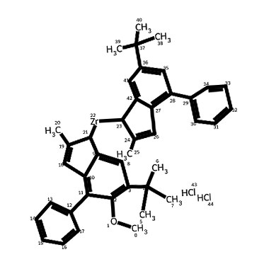 COc1c(C(C)(C)C)cc2c(c1-c1ccccc1)C=C(C)[CH]2[Zr][CH]1C(C)=Cc2c(-c3ccccc3)cc(C(C)(C)C)cc21.Cl.Cl